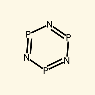 n1pnpnp1